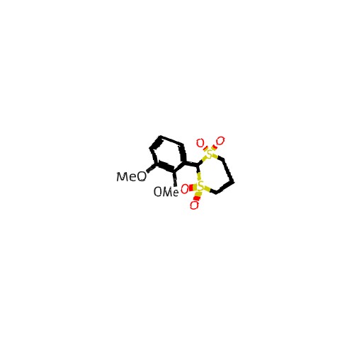 COc1cccc(C2S(=O)(=O)CCCS2(=O)=O)c1OC